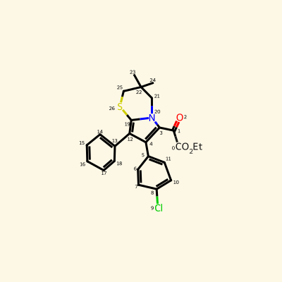 CCOC(=O)C(=O)c1c(-c2ccc(Cl)cc2)c(-c2ccccc2)c2n1CC(C)(C)CS2